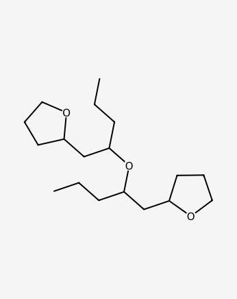 CCCC(CC1CCCO1)OC(CCC)CC1CCCO1